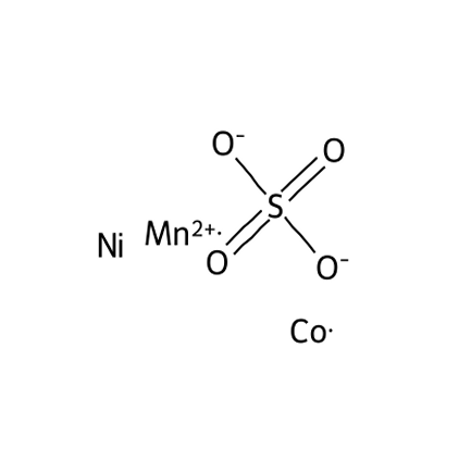 O=S(=O)([O-])[O-].[Co].[Mn+2].[Ni]